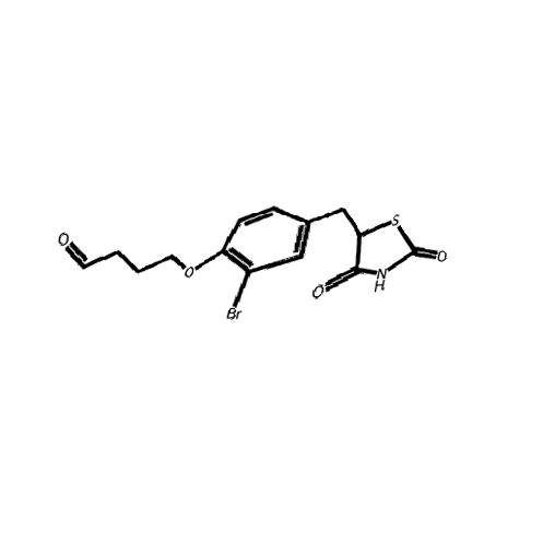 O=CCCCOc1ccc(CC2SC(=O)NC2=O)cc1Br